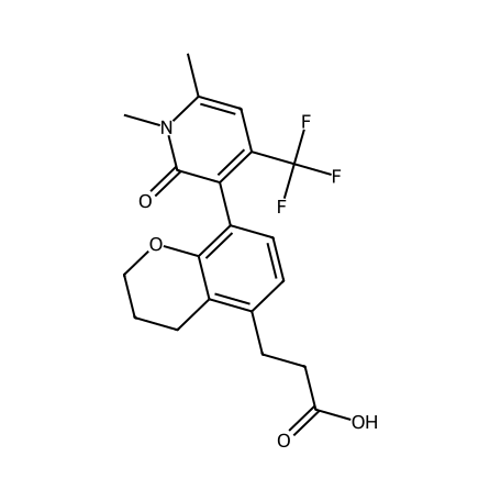 Cc1cc(C(F)(F)F)c(-c2ccc(CCC(=O)O)c3c2OCCC3)c(=O)n1C